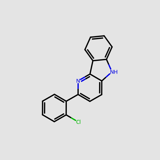 Clc1ccccc1-c1ccc2[nH]c3ccccc3c2n1